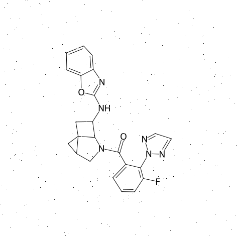 O=C(c1cccc(F)c1-n1nccn1)N1CC2CC23CC(Nc2nc4ccccc4o2)C13